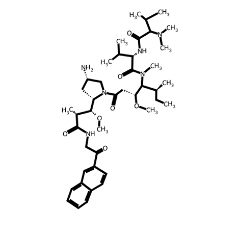 CC[C@H](C)C([C@@H](CC(=O)N1C[C@@H](N)C[C@H]1[C@H](OC)[C@@H](C)C(=O)NCC(=O)c1ccc2ccccc2c1)OC)N(C)C(=O)[C@@H](NC(=O)C(C(C)C)N(C)C)C(C)C